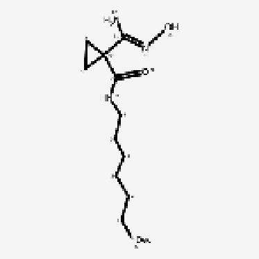 CCCCCCCCCCCCCCCCNC(=O)C1(/C(N)=N/O)CC1